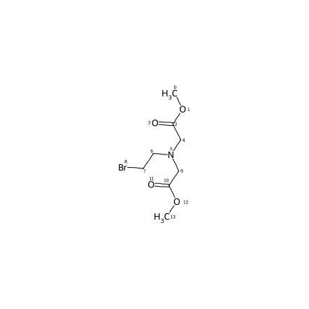 COC(=O)CN(CCBr)CC(=O)OC